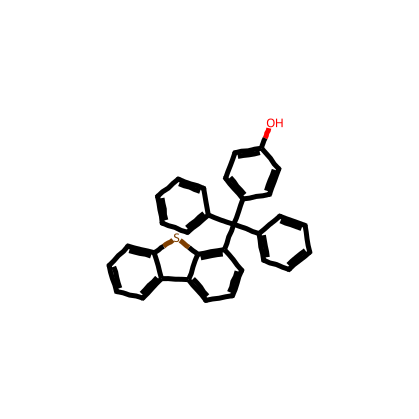 Oc1ccc(C(c2ccccc2)(c2ccccc2)c2cccc3c2sc2ccccc23)cc1